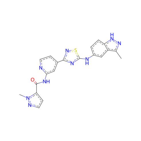 Cc1n[nH]c2ccc(Nc3nc(-c4ccnc(NC(=O)c5ccnn5C)c4)ns3)cc12